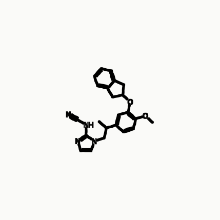 COc1ccc(C(C)Cn2ccnc2NC#N)cc1OC1Cc2ccccc2C1